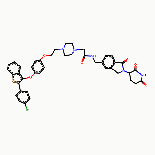 O=C(CN1CCN(CCOc2ccc(Oc3c(-c4ccc(Br)cc4)sc4ccccc34)cc2)CC1)NCc1ccc2c(c1)CN(C1CCC(=O)NC1=O)C2=O